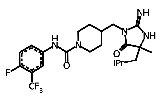 CC(C)CC1(C)NC(=N)N(CC2CCN(C(=O)Nc3ccc(F)c(C(F)(F)F)c3)CC2)C1=O